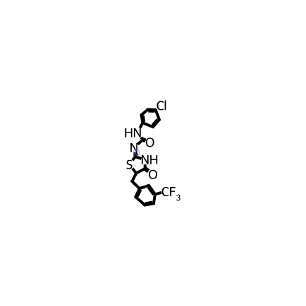 O=C(/N=C1\NC(=O)C(Cc2cccc(C(F)(F)F)c2)S1)Nc1ccc(Cl)cc1